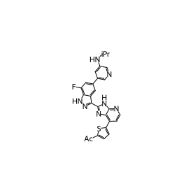 CC(=O)c1ccc(-c2ccnc3[nH]c(-c4n[nH]c5c(F)cc(-c6cncc(NC(C)C)c6)cc45)nc23)s1